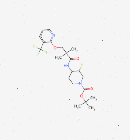 CC(C)(C)OC(=O)N1CCC(NC(=O)C(C)(C)COc2ncccc2C(F)(F)F)C(F)C1